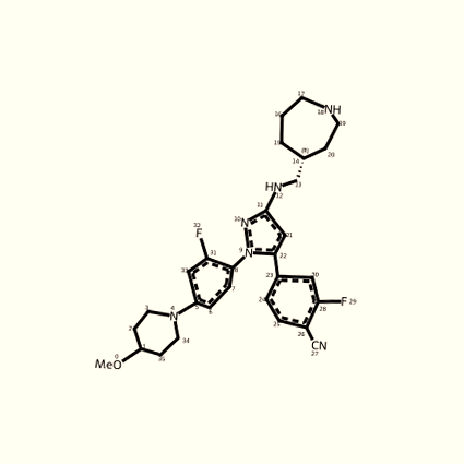 COC1CCN(c2ccc(-n3nc(NC[C@@H]4CCCNCC4)cc3-c3ccc(C#N)c(F)c3)c(F)c2)CC1